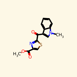 COC(=O)c1csc(C(=O)c2cn(C)c3ccccc23)n1